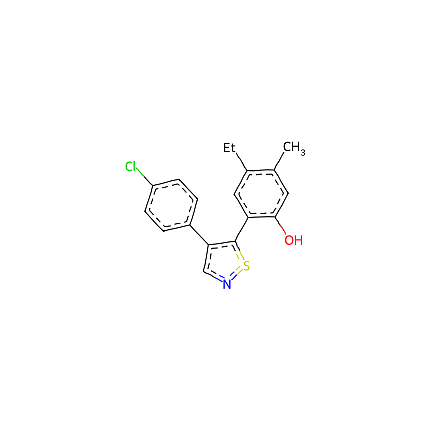 CCc1cc(-c2sncc2-c2ccc(Cl)cc2)c(O)cc1C